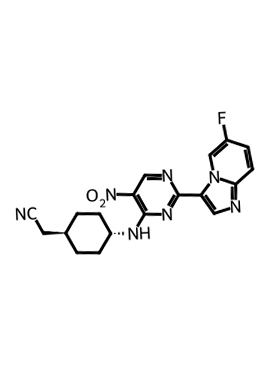 N#CC[C@H]1CC[C@H](Nc2nc(-c3cnc4ccc(F)cn34)ncc2[N+](=O)[O-])CC1